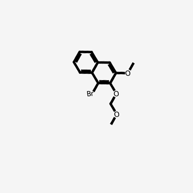 COCOc1c(OC)cc2ccccc2c1Br